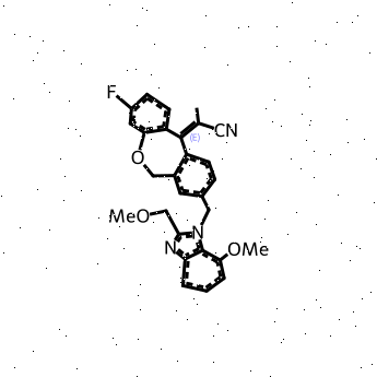 COCc1nc2cccc(OC)c2n1Cc1ccc2c(c1)COc1cc(F)ccc1/C2=C(\C)C#N